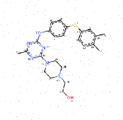 Cc1nc(Nc2ccc(Sc3ccc(C)c(C)c3)cc2)nc(N2CCN(CCO)CC2)n1